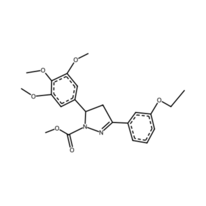 CCOc1cccc(C2=NN(C(=O)OC)C(c3cc(OC)c(OC)c(OC)c3)C2)c1